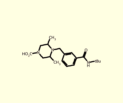 CC1CN(C(=O)O)CC(C)N1Cc1cccc(C(=O)NC(C)(C)C)c1